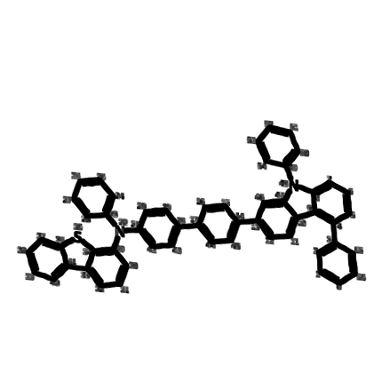 c1ccc(-c2cccc3c2c2ccc(-c4ccc(-c5ccc(N(c6ccccc6)c6cccc7c6sc6ccccc67)cc5)cc4)cc2n3-c2ccccc2)cc1